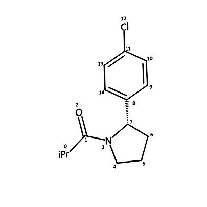 CC(C)C(=O)N1CCC[C@H]1c1ccc(Cl)cc1